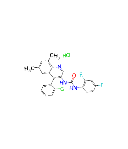 Cc1cc(C)c2ncc(NC(=O)Nc3ccc(F)cc3F)c(-c3ccccc3Cl)c2c1.Cl